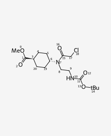 COC(=O)[C@H]1CC[C@H](N(CCNC(=O)OC(C)(C)C)C(=O)CCl)CC1